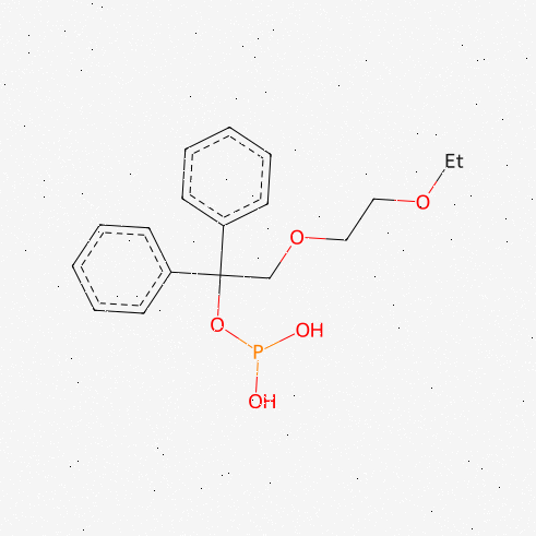 CCOCCOCC(OP(O)O)(c1ccccc1)c1ccccc1